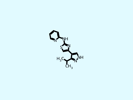 CC(C)c1n[nH]cc1-c1csc(Nc2ccccn2)n1